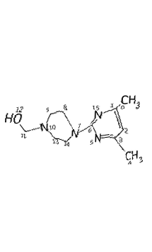 Cc1cc(C)nc(N2CCN(CO)CC2)n1